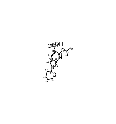 CC(C)Oc1nc2nn(C3CCCCO3)cc2cc1C(=O)O